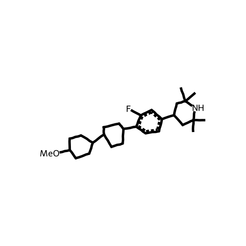 COC1CCC(C2CCC(c3ccc(C4CC(C)(C)NC(C)(C)C4)cc3F)CC2)CC1